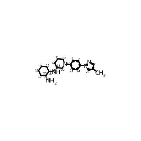 Cc1cnn(-c2ccc(N3CCC[C@H](N[C@@H]4CCCC[C@H]4N)C3)cc2)c1